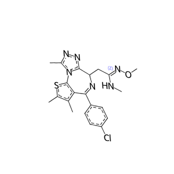 CN/C(CC1N=C(c2ccc(Cl)cc2)c2c(sc(C)c2C)-n2c(C)nnc21)=N\OC